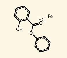 Cl.O=C(Oc1ccccc1)c1ccccc1O.[Fe]